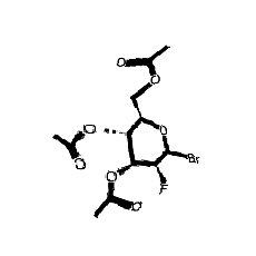 CC(=O)OC[C@H]1OC(Br)[C@@H](F)[C@@H](OC(C)=O)[C@@H]1OC(C)=O